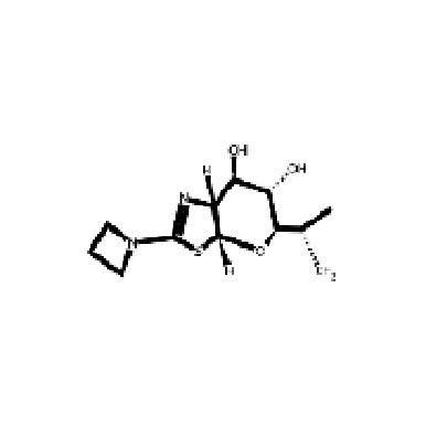 C[C@@H]([C@H]1O[C@@H]2SC(N3CCC3)=N[C@@H]2[C@@H](O)[C@@H]1O)C(F)(F)F